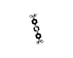 O=[N+]([O-])c1ccc(N2CCN(c3ccc([N+](=O)[O-])cc3)CC2)cc1